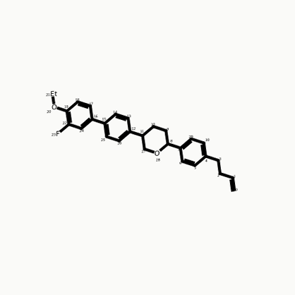 C=CCCc1ccc(C2CCC(c3ccc(-c4ccc(OCC)c(F)c4)cc3)CO2)cc1